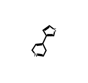 C1=NCC=C(c2ccsc2)C1